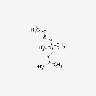 [CH2]C(C)CCC(C)(C)CC=CC